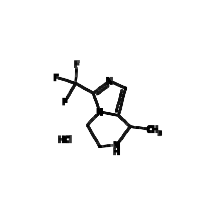 CC1NCCn2c1cnc2C(F)(F)F.Cl